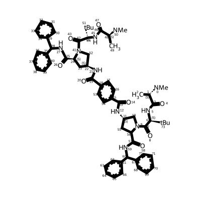 CN[C@@H](C)C(=O)N[C@H](C(=O)N1C[C@@H](NC(=O)c2ccc(C(=O)N[C@H]3C[C@@H](C(=O)NC(c4ccccc4)c4ccccc4)N(C(=O)[C@@H](NC(=O)[C@H](C)NC)C(C)(C)C)C3)cc2)CC1C(=O)NC(c1ccccc1)c1ccccc1)C(C)(C)C